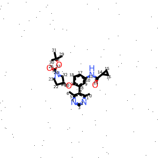 Cc1ncnc(C)c1-c1cc(NC(=O)C2CC2)ccc1O[C@@H]1CCN(C(=O)OC(C)(C)C)C1